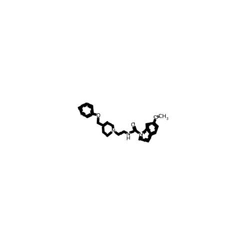 COc1ccc2ccn(C(=O)NCCN3CCC(COc4ccccc4)CC3)c2c1